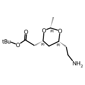 C[C@@H]1O[C@H](CCN)C[C@H](CC(=O)OC(C)(C)C)O1